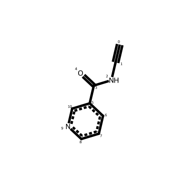 C#CNC(=O)c1cccnc1